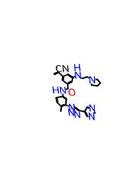 C=C(C#N)c1cc(NCCN2CCCC2)cc(C(=O)Nc2ccc(C)c(-n3cc(-c4cncnc4)nn3)c2)c1